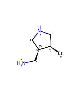 CC[C@@H]1CNC[C@@H]1CN